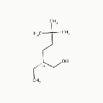 CC[C@@H](CO)CCC(C)(C)C